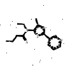 CCCC(=S)N(CC)c1sc(-c2cccnc2)nc1C